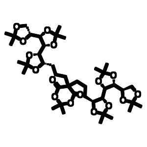 CC1(C)OC(=O)C(CCC[C@@H]2OC(C)(C)O[C@@H]2[C@H]2OC(C)(C)O[C@@H]2[C@H]2COC(C)(C)O2)(CCC[C@@H]2OC(C)(C)O[C@@H]2[C@H]2OC(C)(C)O[C@@H]2[C@H]2COC(C)(C)O2)C(=O)O1